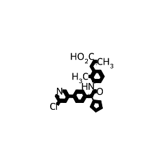 Cc1c(C[C@H](C)C(=O)O)cccc1NC(=O)[C@H](c1ccc(-c2cncc(Cl)c2)cc1)C1CCCC1